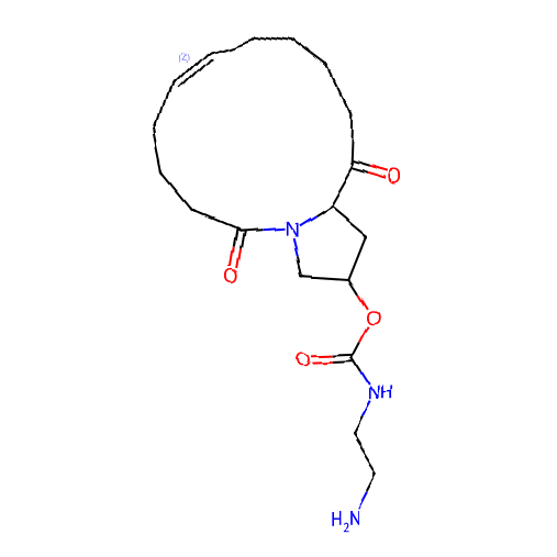 NCCNC(=O)OC1CC2C(=O)CCCC/C=C\CCCC(=O)N2C1